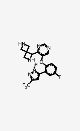 CC(C)n1nc(C(F)(F)F)cc1-c1cc(F)ccc1Oc1cncnc1C1NCC12CNC2